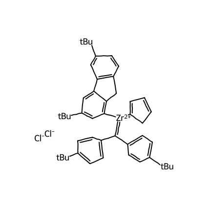 CC(C)(C)c1ccc([C](c2ccc(C(C)(C)C)cc2)=[Zr+2]([C]2=CC=CC2)[c]2cc(C(C)(C)C)cc3c2Cc2ccc(C(C)(C)C)cc2-3)cc1.[Cl-].[Cl-]